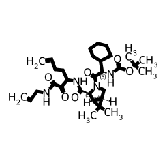 C=CCCC(NC(=O)[C@@H]1[C@H]2[C@@H](CN1C(=O)[C@@H](NC(=O)OC(C)(C)C)C1CCCCC1)C2(C)C)C(=O)C(=O)NCC=C